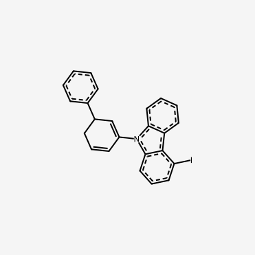 Ic1cccc2c1c1ccccc1n2C1=CC(c2ccccc2)CC=C1